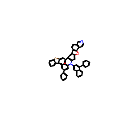 c1ccc(-c2cccc(N(c3cc(-c4ccccc4)c4ccccc4c3)c3cc4oc5c6ccncc6ccc5c4cc3-c3ccc4c(c3)sc3ccccc34)c2)cc1